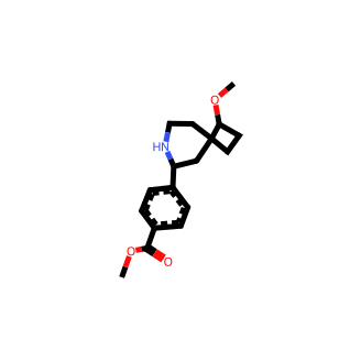 COC(=O)c1ccc(C2CC3(CCN2)CCC3OC)cc1